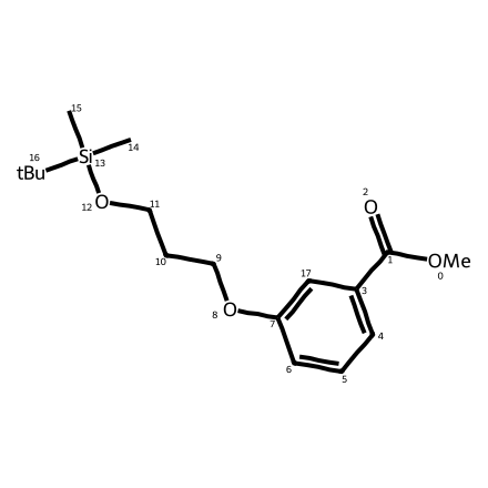 COC(=O)c1cccc(OCCCO[Si](C)(C)C(C)(C)C)c1